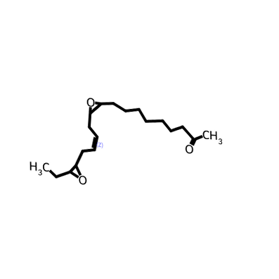 CCC1OC1C/C=C\CC1OC1CCCCCCCC(C)=O